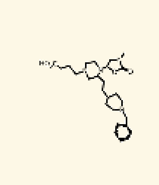 CN1CC(N2CCN(CCCC(=O)O)CC2CCC2CCN(Cc3ccccc3)CC2)OC1=O